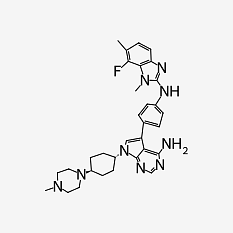 Cc1ccc2nc(Nc3ccc(-c4cn([C@H]5CC[C@H](N6CCN(C)CC6)CC5)c5ncnc(N)c45)cc3)n(C)c2c1F